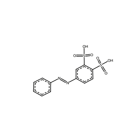 O=S(=O)(O)c1ccc(N=Nc2ccccc2)cc1S(=O)(=O)O